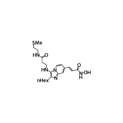 CCCCCCc1nc2cc(C=CC(=O)NO)ccn2c1NCCC(=O)NCCSC